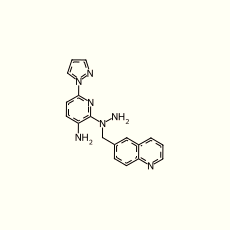 Nc1ccc(-n2cccn2)nc1N(N)Cc1ccc2ncccc2c1